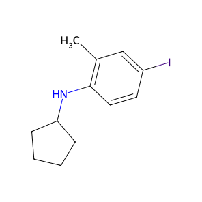 Cc1cc(I)ccc1NC1CCCC1